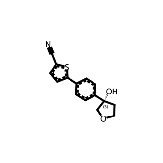 N#Cc1ccc(-c2ccc([C@@]3(O)CCOC3)cc2)s1